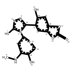 CNc1cc(-n2c(S)nnc2-c2cc3oc(=O)oc3cc2O)ccc1O